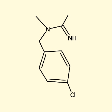 CC(=N)N(C)Cc1ccc(Cl)cc1